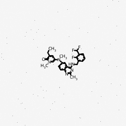 CCc1cc(N(C)c2ccc3nc(C)nc(NCc4cccc(C(F)F)c4F)c3c2)cn(C)c1=O